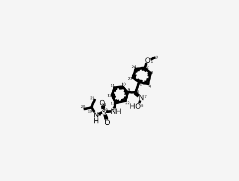 COc1ccc(C(=NO)c2cccc(NS(=O)(=O)NC(C)C)c2)cc1